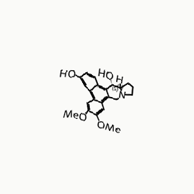 COc1cc2c3c(c4ccc(O)cc4c2cc1OC)[C@H](O)[C@@H]1CCCN1C3